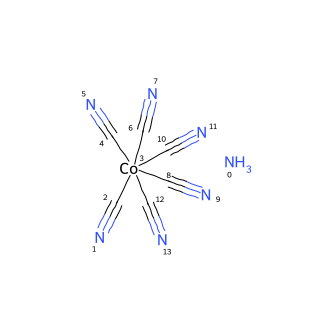 N.N#[C][Co]([C]#N)([C]#N)([C]#N)([C]#N)[C]#N